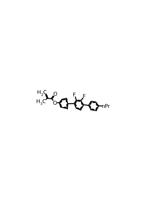 C=C(C)C(=O)Oc1ccc(-c2ccc(-c3ccc(CCC)cc3)c(F)c2F)cc1